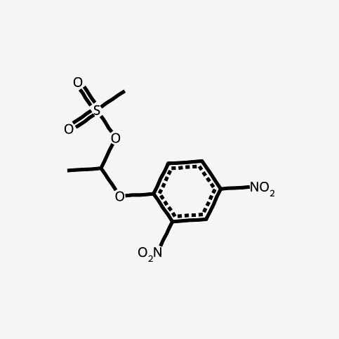 CC(Oc1ccc([N+](=O)[O-])cc1[N+](=O)[O-])OS(C)(=O)=O